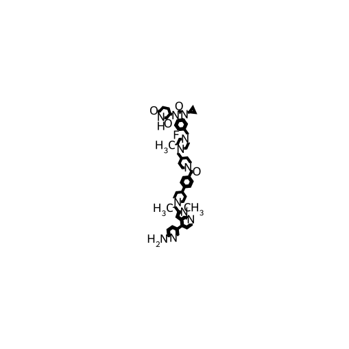 C[C@H]1CN(Cc2cc3c(cc2F)n(C2CCC(=O)NC2=O)c(=O)n3C2CC2)CCN1CC1CCN(C(=O)c2ccc(C3CCN([C@@H](C)c4cc5c(-c6ccc(N)nc6)ccnc5n4C)CC3)cc2)CC1